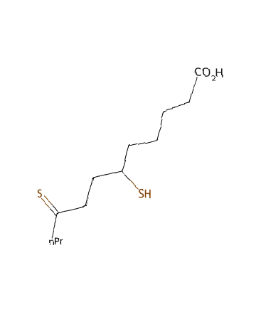 CCCC(=S)CCC(S)CCCCC(=O)O